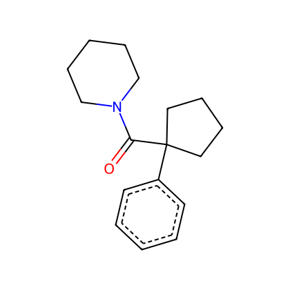 O=C(N1CCCCC1)C1(c2ccccc2)CCCC1